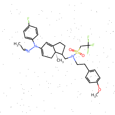 C/C=N\N(C1=CC[C@@]2(C)C(=C1)CCC2CN(CCc1ccc(OC)cc1)S(=O)(=O)CC(F)(F)F)c1ccc(F)cc1